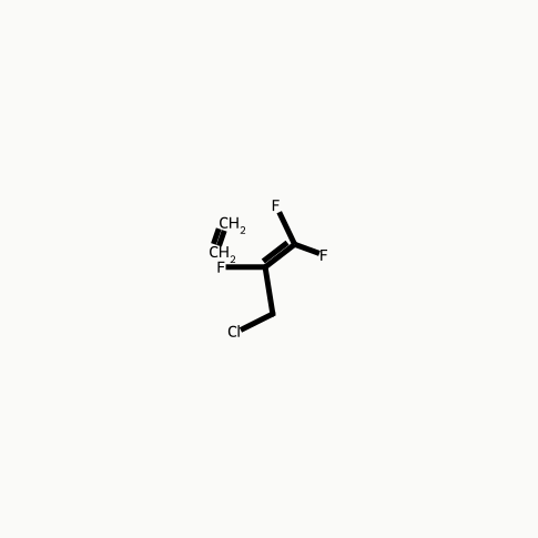 C=C.FC(F)=C(F)CCl